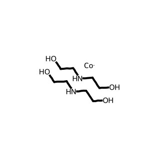 OCCNCCO.OCCNCCO.[Co]